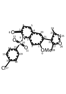 COc1cc2c(ccc(=O)n2S(=O)(=O)c2ccc(Cl)cc2)cc1-c1c(C)noc1C